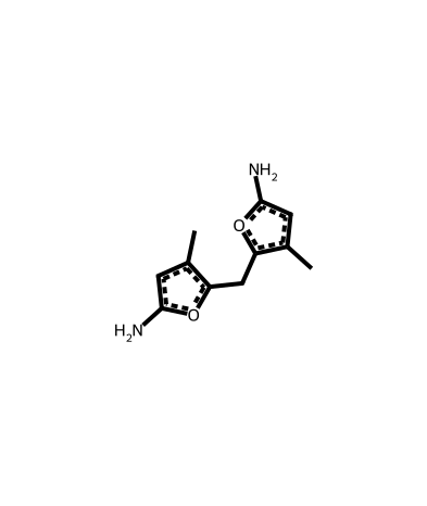 Cc1cc(N)oc1Cc1oc(N)cc1C